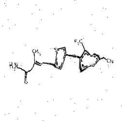 C/C(=C\c1cc(-c2ccc(C#N)cc2C(F)(F)F)cs1)C(N)=O